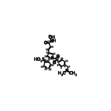 CN(C)Cc1ccc(S(=O)(=O)n2ccc(C=CC(=O)NO)c2)cc1.O=S(=O)(O)c1ccccc1